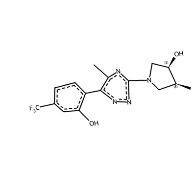 Cc1nc(N2C[C@@H](O)[C@@H](C)C2)nnc1-c1ccc(C(F)(F)F)cc1O